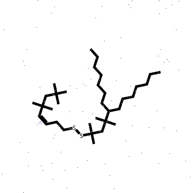 CCCCCCCC(CCCCCCC)C(C)(C)CC(C)(C)SSCC/C=C\C(C)(C)CC(C)(C)C